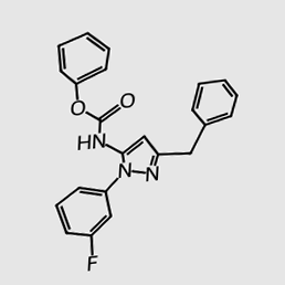 O=C(Nc1cc(Cc2ccccc2)nn1-c1cccc(F)c1)Oc1ccccc1